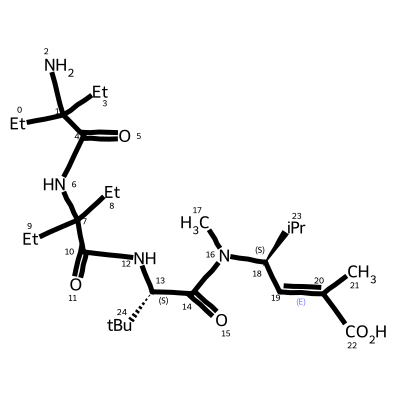 CCC(N)(CC)C(=O)NC(CC)(CC)C(=O)N[C@H](C(=O)N(C)[C@H](/C=C(\C)C(=O)O)C(C)C)C(C)(C)C